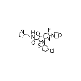 CN1CCCC1CCNC(=O)c1c(=O)c2cc(F)c(N3CCOCC3)nc2n2c1sc1ccc(Cl)cc12